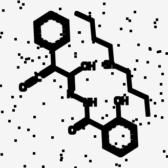 CCC[CH2][Sn][CH2]CCC.O=C=C(C(O)=NNC(=O)c1ccccc1O)c1ccccc1